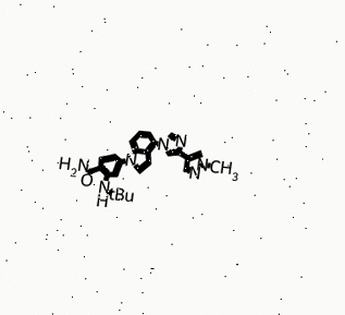 Cn1cc(-c2cn(-c3cccc4c3ccn4-c3ccc(C(N)=O)c(NC(C)(C)C)c3)cn2)cn1